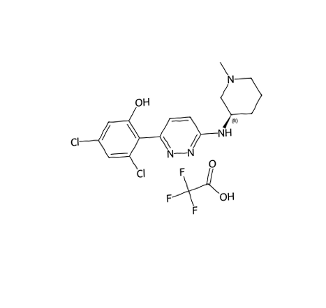 CN1CCC[C@@H](Nc2ccc(-c3c(O)cc(Cl)cc3Cl)nn2)C1.O=C(O)C(F)(F)F